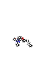 C1=CC2C=CC(c3cccc(-c4ccc5c(c4)oc4c6ccccc6c(-c6nc(-c7ccccc7)nc(-c7ccccc7)n6)cc54)c3)=CC2C=C1